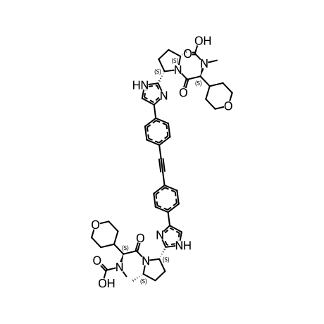 C[C@H]1CC[C@@H](c2nc(-c3ccc(C#Cc4ccc(-c5c[nH]c([C@@H]6CC[C@H](C)N6C(=O)[C@H](C6CCOCC6)N(C)C(=O)O)n5)cc4)cc3)c[nH]2)N1C(=O)[C@H](C1CCOCC1)N(C)C(=O)O